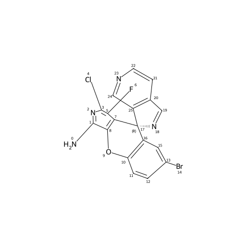 Nc1nc(Cl)c(F)c2c1Oc1ccc(Br)cc1[C@@]21N=Cc2ccncc21